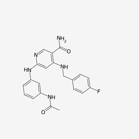 CC(=O)Nc1cccc(Nc2cc(NCc3ccc(F)cc3)c(C(N)=O)cn2)c1